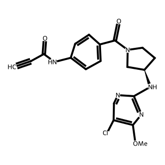 C#CC(=O)Nc1ccc(C(=O)N2CC[C@@H](Nc3ncc(Cl)c(OC)n3)C2)cc1